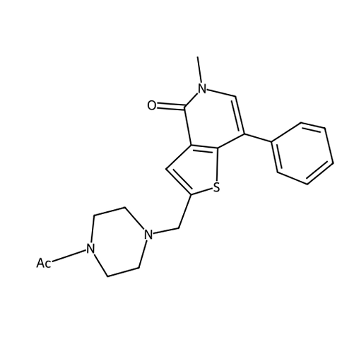 CC(=O)N1CCN(Cc2cc3c(=O)n(C)cc(-c4ccccc4)c3s2)CC1